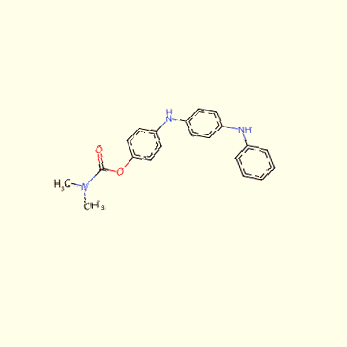 CN(C)C(=O)Oc1ccc(Nc2ccc(Nc3ccccc3)cc2)cc1